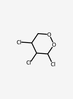 ClC1COOC(Cl)C1Cl